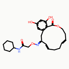 O=C(CON=C1/C=C/CC/C=C/CCOC(=O)c2c(O)cc(O)cc2C1)NC1CCCCC1